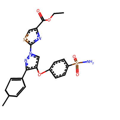 CCOC(=O)c1csc(-n2cc(Oc3ccc(S(N)(=O)=O)cc3)c(C3=CCC(C)C=C3)n2)n1